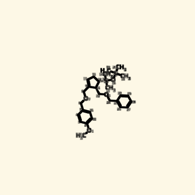 COc1ccc(COCC2=CC[C@H]([Si](C)(C)O[Si](C)(C)C)[C@H]2COCc2ccccc2)cc1